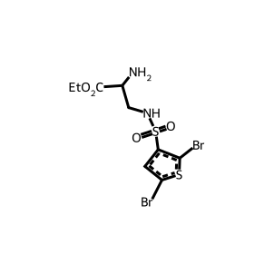 CCOC(=O)C(N)CNS(=O)(=O)c1cc(Br)sc1Br